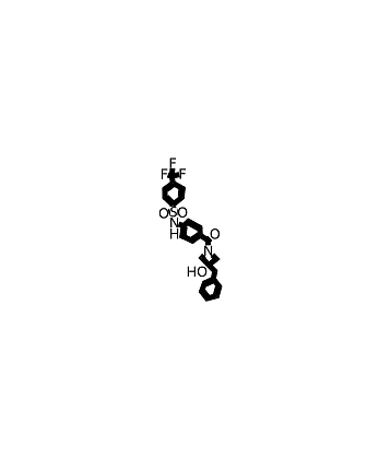 O=C(c1ccc(NS(=O)(=O)c2ccc(C(F)(F)F)cc2)cc1)N1CC(O)(Cc2ccccc2)C1